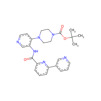 CC(C)(C)OC(=O)N1CCN(c2ccncc2NC(=O)c2cccc(-c3cccnc3)n2)CC1